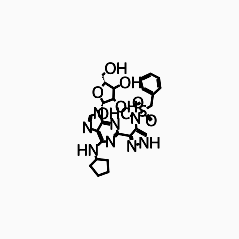 O=CN(c1c[nH]nc1-c1nc(NC2CCCC2)c2ncn([C@@H]3O[C@H](CO)C(O)C3O)c2n1)S(=O)(=O)Cc1ccccc1